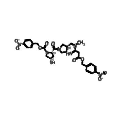 CN(C[C@H]1CCN(C(=O)[C@@H]2C[C@H](S)CN2C(=O)OCc2ccc([N+](=O)[O-])cc2)C1)C(=N)CC(=O)OCc1ccc([N+](=O)[O-])cc1